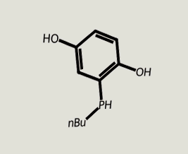 CCCCPc1cc(O)ccc1O